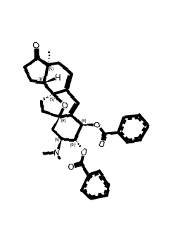 CN(C)[C@H]1C[C@@]23CC[C@@]4(O2)C(=CC[C@]2(C)C(=O)CC[C@H]24)C=C3[C@@H](OC(=O)c2ccccc2)[C@@H]1OC(=O)c1ccccc1